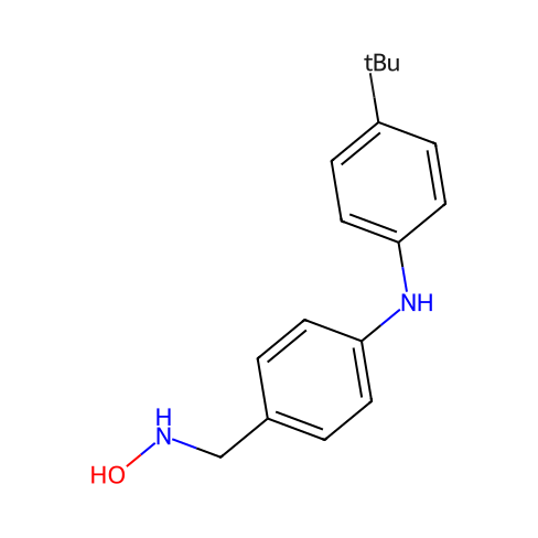 CC(C)(C)c1ccc(Nc2ccc(CNO)cc2)cc1